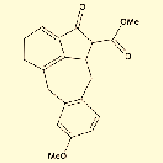 COC(=O)C1C(=O)c2cccc3c2C1Cc1ccc(OC)cc1C3